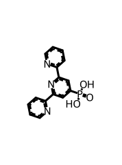 O=P(O)(O)c1cc(-c2ccccn2)nc(-c2ccccn2)c1